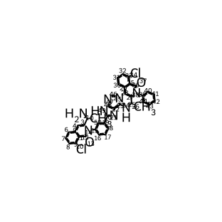 C[C@H](N)c1cc2cccc(Cl)c2c(=O)n1-c1cccc(-c2nc3c(N[C@@H](C)c4cc5cccc(Cl)c5c(=O)n4-c4ccccc4)ncnc3[nH]2)c1